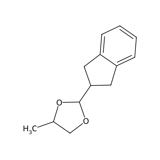 CC1COC(C2Cc3ccccc3C2)O1